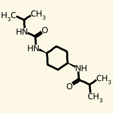 CC(C)NC(=O)N[C@H]1CC[C@@H](NC(=O)C(C)C)CC1